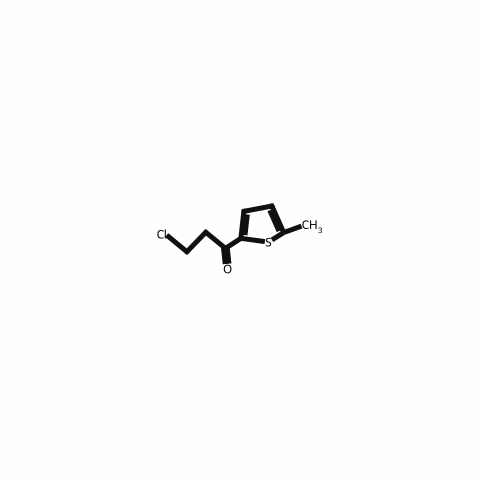 Cc1ccc(C(=O)CCCl)s1